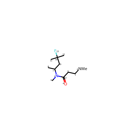 CNCCC(=O)N(C)C(C)CC(C)(C)F